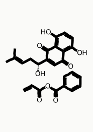 C=CC(=O)OC(=O)c1ccccc1.CC(C)=CC[C@@H](O)C1=CC(=O)c2c(O)ccc(O)c2C1=O